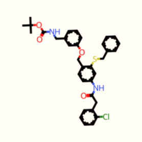 CC(C)(C)OC(=O)NCc1cccc(OCc2ccc(NC(=O)Cc3ccccc3Cl)cc2SCc2ccccc2)c1